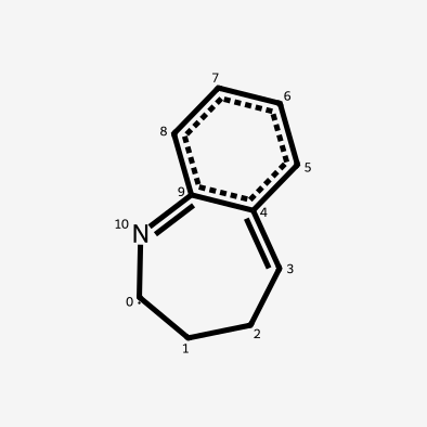 [CH]1CCC=c2ccccc2=N1